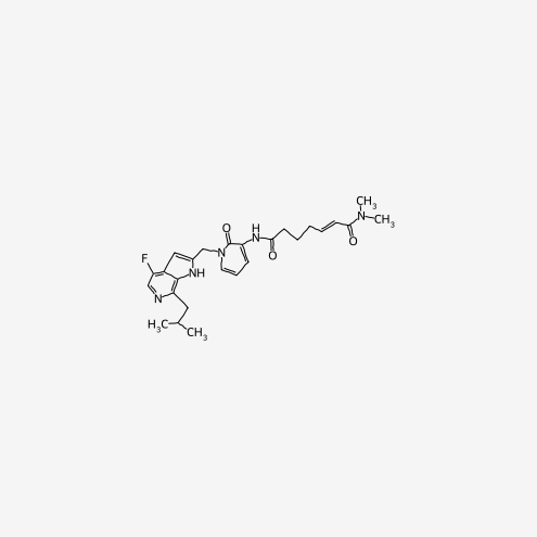 CC(C)Cc1ncc(F)c2cc(Cn3cccc(NC(=O)CCC/C=C/C(=O)N(C)C)c3=O)[nH]c12